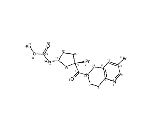 CC(C)[C@]1(C(=O)N2CCc3ncc(Br)cc3C2)CC[C@@H](NC(=O)OC(C)(C)C)C1